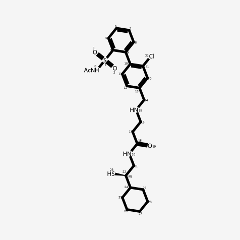 CC(=O)NS(=O)(=O)c1ccccc1-c1ccc(CNCCC(=O)NC[C@H](S)C2CCCCC2)cc1Cl